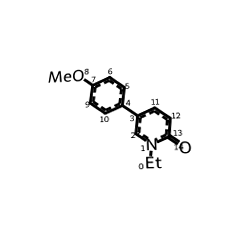 CCn1cc(-c2ccc(OC)cc2)ccc1=O